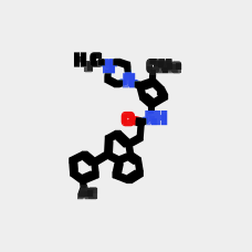 COc1ccc(NC(=O)Cc2ccc(-c3cccc(C(C)=O)c3)c3ccccc23)cc1N1CCN(C)CC1